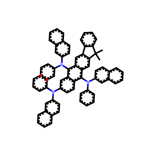 CC1(C)c2ccccc2-c2cc3c(N(c4ccccc4)c4ccc5ccccc5c4)c4cc(N(c5ccccc5)c5ccc6ccccc6c5)ccc4c(N(c4ccccc4)c4ccc5ccccc5c4)c3cc21